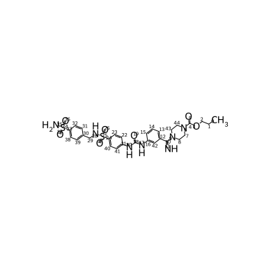 CCCOC(=O)N1CCN(C(=N)c2cccc(NC(=O)Nc3ccc(S(=O)(=O)NCc4ccc(S(N)(=O)=O)cc4)cc3)c2)CC1